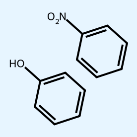 O=[N+]([O-])c1ccccc1.Oc1ccccc1